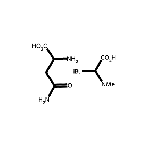 CCC(C)C(NC)C(=O)O.NC(=O)CC(N)C(=O)O